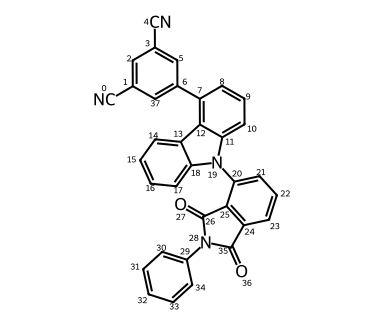 N#Cc1cc(C#N)cc(-c2cccc3c2c2ccccc2n3-c2cccc3c2C(=O)N(c2ccccc2)C3=O)c1